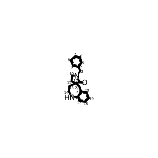 O=C1N(Cc2ccccc2)CCC12CCNc1ccccc1C2